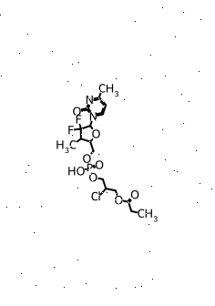 CCC(=O)OCC(Cl)COP(=O)(O)OCC1OC(n2ccc(C)nc2=O)C(F)(F)C1C